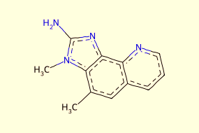 Cc1cc2cccnc2c2nc(N)n(C)c12